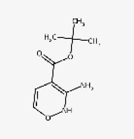 CC(C)(C)OC(=O)C1=C(N)NOC=C1